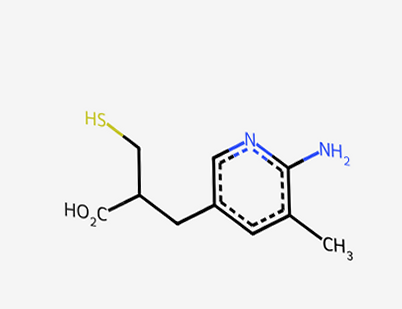 Cc1cc(CC(CS)C(=O)O)cnc1N